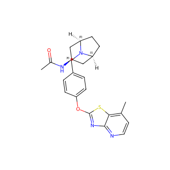 CC(=O)N[C@H]1C[C@H]2CC[C@@H](C1)N2Cc1ccc(Oc2nc3nccc(C)c3s2)cc1